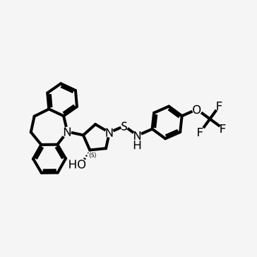 O[C@H]1CN(SNc2ccc(OC(F)(F)F)cc2)CC1N1c2ccccc2CCc2ccccc21